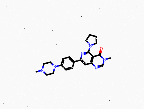 CN1CCN(c2ccc(-c3cc4ncn(C)c(=O)c4c(N4CCCC4)n3)cc2)CC1